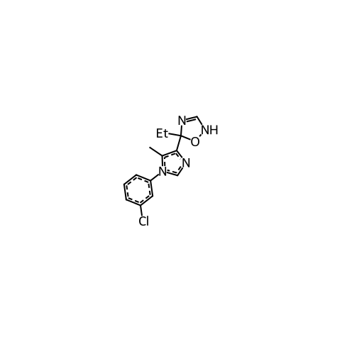 CCC1(c2ncn(-c3cccc(Cl)c3)c2C)N=CNO1